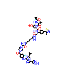 Cc1ncsc1-c1ccc([C@H](CC(=O)NCCCCCCNC(=O)CN2CCN(C(=O)c3ccc(Nc4nc(C5CC5)cn5c(-c6cn[nH]c6)cnc45)c(F)c3)CC2)NC(=O)[C@@H]2C[C@@H](O)CN2C(=O)[C@@H](NC(=O)C2(F)CC2)C(C)(C)C)cc1